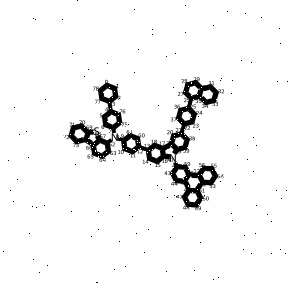 c1ccc(-c2ccc(N(c3ccc(-c4ccc5c(c4)c4cc(-c6ccc(-c7cccc8ccccc78)cc6)ccc4n5-c4ccc5c6ccccc6c6ccccc6c5c4)cc3)c3cccc4c3sc3ccccc34)cc2)cc1